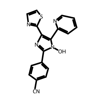 N#Cc1ccc(-c2nc(-c3nccs3)c(-c3ccccn3)n2O)cc1